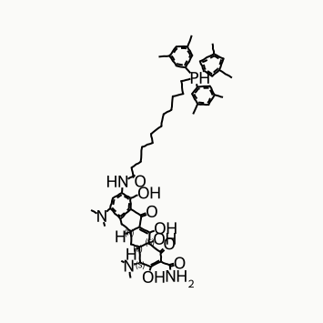 Cc1cc(C)cc([PH](CCCCCCCCCCCC(=O)Nc2cc(N(C)C)c3c(c2O)C(=O)C2=C(O)[C@]4(O)C(=O)C(C(N)=O)=C(O)[C@@H](N(C)C)[C@@H]4C[C@@H]2C3)(c2cc(C)cc(C)c2)c2cc(C)cc(C)c2)c1